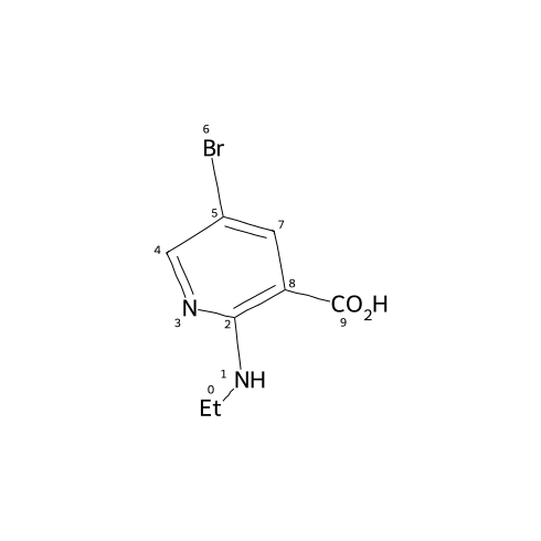 CCNc1ncc(Br)cc1C(=O)O